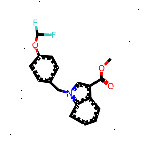 COC(=O)c1cn(Cc2ccc(OC(F)F)cc2)c2ccccc12